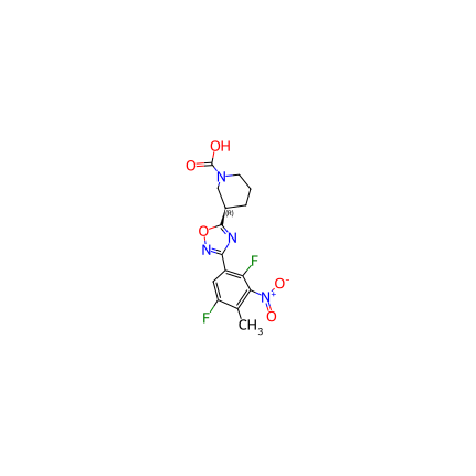 Cc1c(F)cc(-c2noc([C@@H]3CCCN(C(=O)O)C3)n2)c(F)c1[N+](=O)[O-]